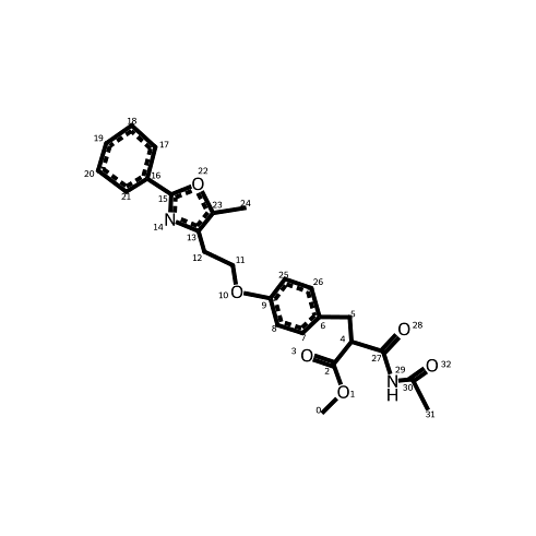 COC(=O)C(Cc1ccc(OCCc2nc(-c3ccccc3)oc2C)cc1)C(=O)NC(C)=O